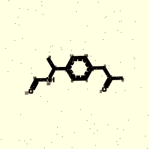 CC(=O)Cc1ccc(C(C)NC=O)cc1